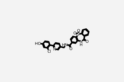 O=C(NCc1ccc(-c2ccc(O)cc2Cl)nc1)c1ccc2c(c1)NC(=O)c1ccccc1S2(=O)=O